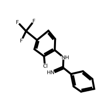 N=C(Nc1ccc(C(F)(F)F)cc1Cl)c1ccccc1